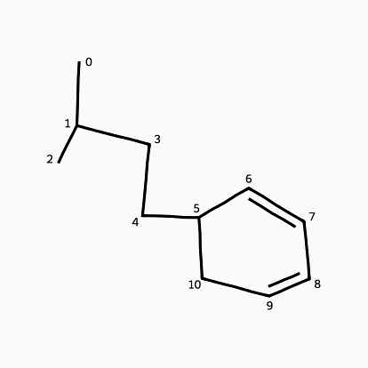 CC(C)CCC1C=CC=CC1